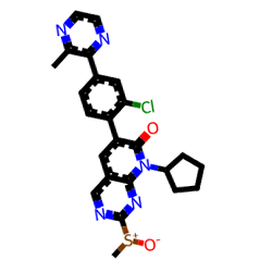 Cc1nccnc1-c1ccc(-c2cc3cnc([S+](C)[O-])nc3n(C3CCCC3)c2=O)c(Cl)c1